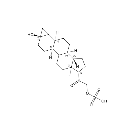 C[C@]12CCC3[C@H]4CC[C@]5(O)CC5[C@H]4CC[C@H]3[C@@H]1CC[C@@H]2C(=O)COS(=O)(=O)O